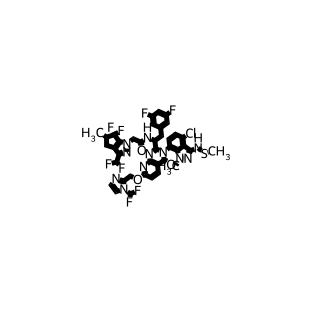 CSNc1nn(C)c2c(-n3c(C(Cc4cc(F)cc(F)c4)NC(=O)Cn4nc(C(F)F)c5c4C(F)(F)C(C)C5)nc4nc(OCc5nccn5C(F)F)ccc4c3=O)ccc(Cl)c12